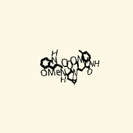 COc1cccc2[nH]c(C(=O)NC(CC3CC3)C(=O)NC(CC3C(=O)Nc4ccc(C)cc43)C(N)=O)cc12